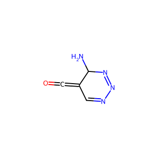 NC1N=NN=CC1=C=O